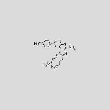 CCCCc1nc2c(N)nc3ccc(N4CCN(C)CC4)cc3c2n1C/C=C/CN